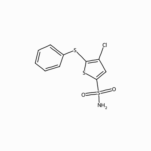 NS(=O)(=O)c1cc(Cl)c(Sc2ccccc2)s1